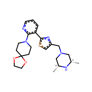 C[C@@H]1CN(Cc2csc(-c3cccnc3N3CCC4(CC3)OCCO4)n2)C[C@H](C)N1